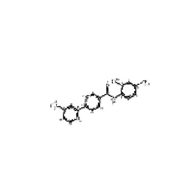 O=C(Nc1ccc(C(F)(F)F)cc1Cl)c1ccc(-c2cc(C(F)(F)F)ccn2)cc1